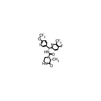 C[C@@H]1C(=O)NCCN1C(=O)N[C@H](c1ccc(OC(F)(F)F)nc1)c1ccc(F)c(C(F)(F)F)n1